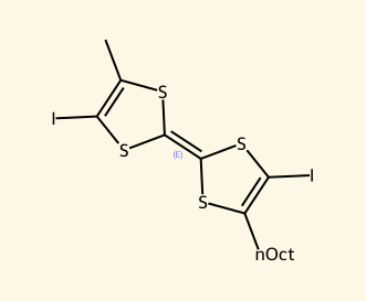 CCCCCCCCC1=C(I)S/C(=C2\SC(C)=C(I)S2)S1